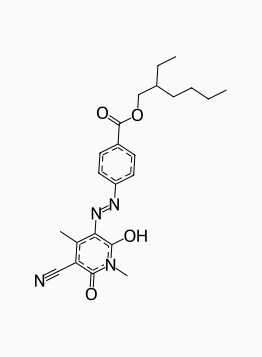 CCCCC(CC)COC(=O)c1ccc(/N=N/c2c(C)c(C#N)c(=O)n(C)c2O)cc1